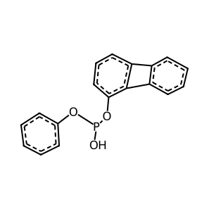 OP(Oc1ccccc1)Oc1cccc2c1-c1ccccc1-2